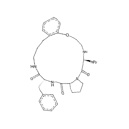 CCC[C@@H]1NCCOc2ccccc2CCCNC(=O)[C@@H](Cc2ccccc2)NC(=O)C2CCCN2C1=O